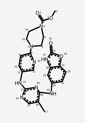 COC(=O)N1CCN(c2ccc(Nc3ncc(C)c(Nc4ccc5oc(=O)[nH]c5c4)n3)cn2)CC1